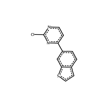 Clc1nccc(-c2ccc3ccsc3c2)n1